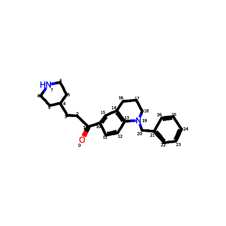 O=C(CCC1CCNCC1)c1ccc2c(c1)CCCN2Cc1ccccc1